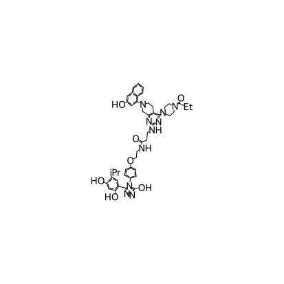 CCC(=O)N1CCN(c2nc(NCCC(=O)NCCOc3ccc(-n4c(O)nnc4-c4cc(C(C)C)c(O)cc4O)cc3)nc3c2CCN(c2cc(O)cc4ccccc24)C3)CC1